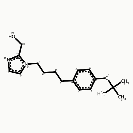 CC(C)(C)Oc1ccc(CCCCn2ccnc2CO)cc1